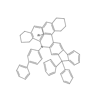 CC(C)c1ccc2c(c1-c1cc3c(cc1N(c1ccc(-c4ccccc4)cc1)c1cccc4c1CCCC4)C(c1ccccc1)(c1ccccc1)c1ccccc1-3)CCCC2